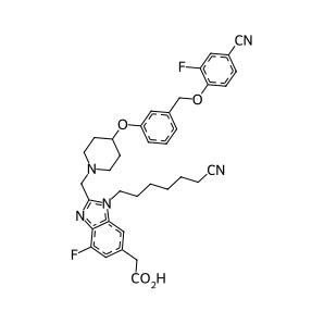 N#CCCCCCCn1c(CN2CCC(Oc3cccc(COc4ccc(C#N)cc4F)c3)CC2)nc2c(F)cc(CC(=O)O)cc21